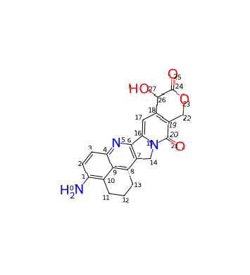 Nc1ccc2nc3c(c4c2c1CCC4)Cn1c-3cc2c(c1=O)COC(=O)C2O